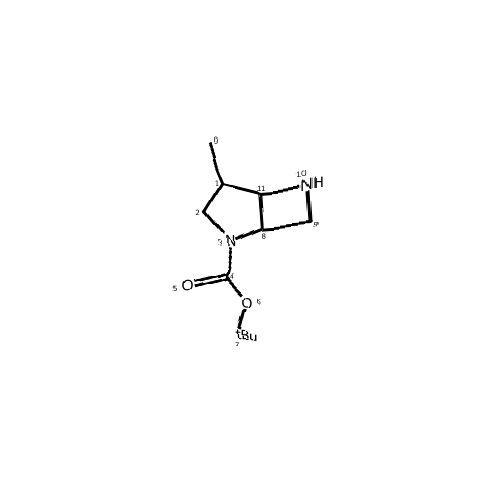 CC1CN(C(=O)OC(C)(C)C)C2CNC12